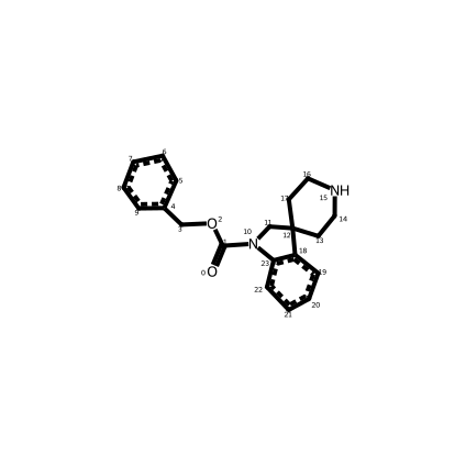 O=C(OCc1ccccc1)N1CC2(CCNCC2)c2ccccc21